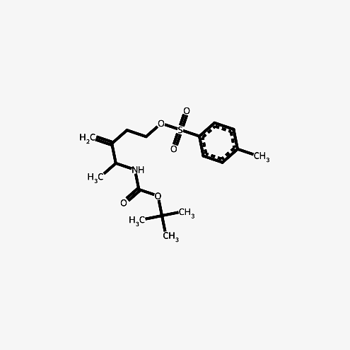 C=C(CCOS(=O)(=O)c1ccc(C)cc1)C(C)NC(=O)OC(C)(C)C